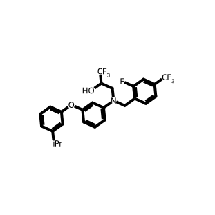 CC(C)c1cccc(Oc2cccc(N(Cc3ccc(C(F)(F)F)cc3F)CC(O)C(F)(F)F)c2)c1